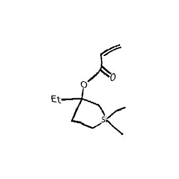 C=CC(=O)OC1(CC)CC[Si](C)(C)C1